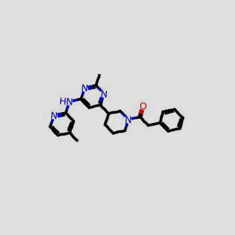 Cc1ccnc(Nc2cc(C3CCCN(C(=O)Cc4ccccc4)C3)nc(C)n2)c1